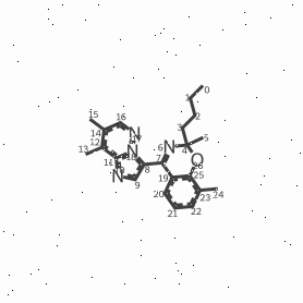 CCCCC1(C)N=C(c2cnc3c(C)c(C)cnn23)c2cccc(C)c2O1